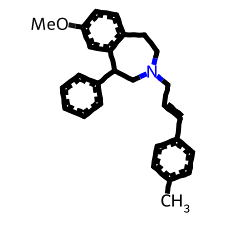 COc1ccc2c(c1)C(c1ccccc1)CN(C/C=C/c1ccc(C)cc1)CC2